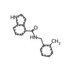 Cc1ccccc1CNC(=O)c1cccc2[nH]ccc12